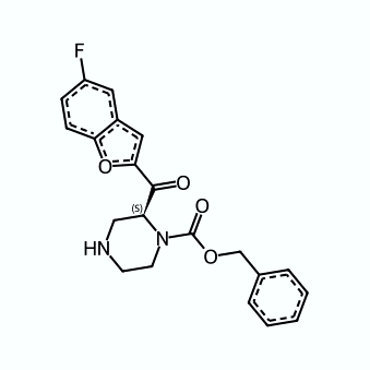 O=C(c1cc2cc(F)ccc2o1)[C@@H]1CNCCN1C(=O)OCc1ccccc1